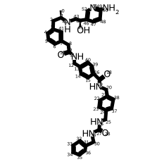 C[C@H](Cc1cccc(CC(=O)NCc2ccc(C(=O)NCc3ccc(CNC(=O)NCc4ccccc4)cc3)cc2)c1)NC[C@H](O)c1ccc(N)nc1